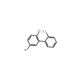 CC(C)c1ccc(C(F)(F)F)c(-c2ccccc2C(F)(F)F)c1